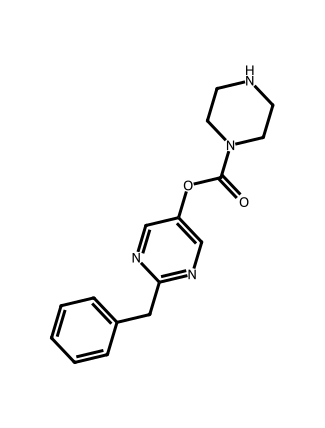 O=C(Oc1cnc(Cc2ccccc2)nc1)N1CCNCC1